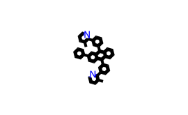 Cc1cccnc1-c1cccc(-c2c3ccccc3c(-c3cccc(-c4ncccc4C)c3)c3cc(-c4ccccc4)ccc23)c1